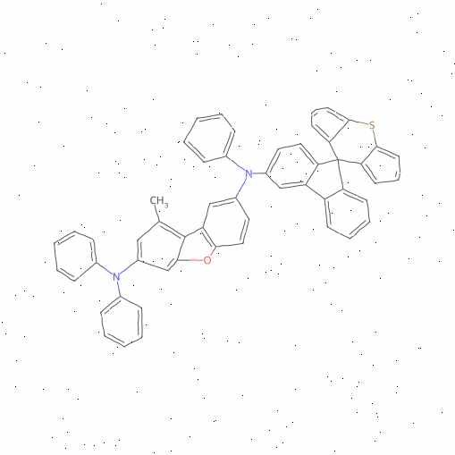 Cc1cc(N(c2ccccc2)c2ccccc2)cc2oc3ccc(N(c4ccccc4)c4ccc5c(c4)-c4ccccc4C54c5ccccc5Sc5ccccc54)cc3c12